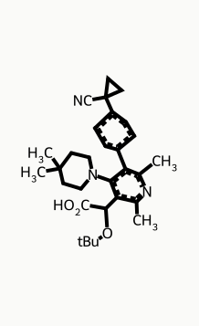 Cc1nc(C)c(C(OC(C)(C)C)C(=O)O)c(N2CCC(C)(C)CC2)c1-c1ccc(C2(C#N)CC2)cc1